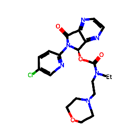 CCN(CCN1CCOCC1)C(=O)O[C@@H]1c2nccnc2C(=O)N1c1ccc(Cl)cn1